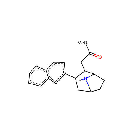 COC(=O)CC1C(c2ccc3ccccc3c2)CC2CCC1N2C